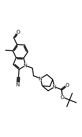 Cc1c(C=O)ccc2c1cc(C#N)n2CCN1CC2CC1CN2C(=O)OC(C)(C)C